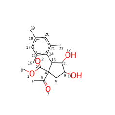 COC(=O)C1(C(C)=O)CC(O)C(O)C1c1c(C)cc(C)cc1C